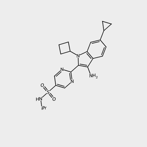 CC(C)NS(=O)(=O)c1cnc(-c2c(N)c3ccc(C4CC4)cc3n2C2CCC2)nc1